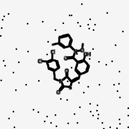 CON(C(=O)c1cc(C=C2SC(=O)N(Cc3ccc(Cl)c(Cl)c3)C2=O)ccc1O)c1cccc(C)c1